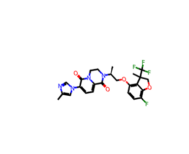 Cc1cn(-c2ccc3n(c2=O)CCN([C@@H](C)COc2ccc(F)c4c2C(C)(C(F)(F)F)CO4)C3=O)cn1